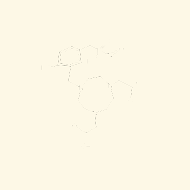 C[C@H](O)CN1CCN(Cc2cc(CP(=O)(O)N=O)ccc2O)CCN(C[C@H](C)O)CC1